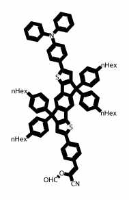 CCCCCCc1ccc(C2(c3ccc(CCCCCC)cc3)c3cc4c(cc3-c3sc(-c5ccc(/C=C(/C#N)OC=O)cc5)cc32)C(c2ccc(CCCCCC)cc2)(c2ccc(CCCCCC)cc2)c2cc(-c3ccc(N(c5ccccc5)c5ccccc5)cc3)sc2-4)cc1